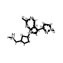 CNCC1CCC(n2cc(-c3ccn(C)n3)c3cnc(C)nc32)C1